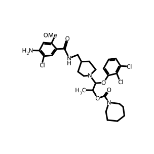 COc1cc(N)c(Cl)cc1C(=O)NCC1CCN(C(Oc2cccc(Cl)c2Cl)C(C)OC(=O)N2CCCCCC2)CC1